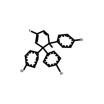 [CH2]C1(c2ccc(Br)cc2)C=CC(F)=CC1(c1ccc(Br)cc1)c1ccc(Br)cc1